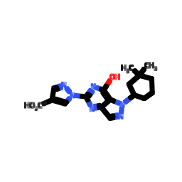 CC1(C)CCCC(n2ncc3nc(-n4cc(C(=O)O)cn4)nc(O)c32)C1